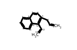 C=CCc1ccc2ccccc2c1C=C